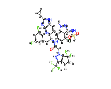 C[C@@H]1c2c(C(F)(F)F)nn(CC(=O)N[C@@H](Cc3cc(F)cc(F)c3)c3nc4nc(C5CC5)[nH]c4cc3-c3ccc(Cl)c4c(NS(C)(=O)=O)nn(C)c34)c2C(F)(F)[C@@H]1C